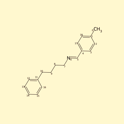 Cc1ccc(C=NCCCCc2ccccc2)cc1